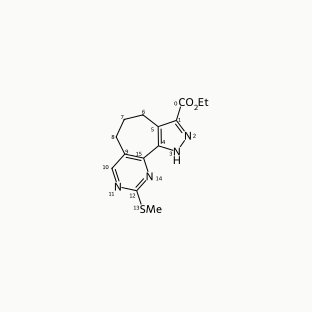 CCOC(=O)c1n[nH]c2c1CCCc1cnc(SC)nc1-2